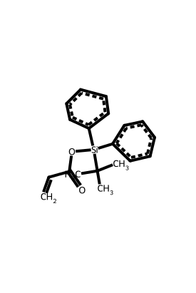 C=CC(=O)O[Si](c1ccccc1)(c1ccccc1)C(C)(C)C